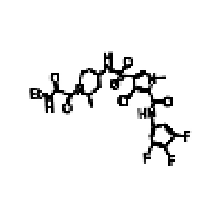 CCNC(=O)C(=O)N1CCC(NS(=O)(=O)c2cn(C)c(C(=O)Nc3cc(F)c(F)c(F)c3)c2Cl)CC1C